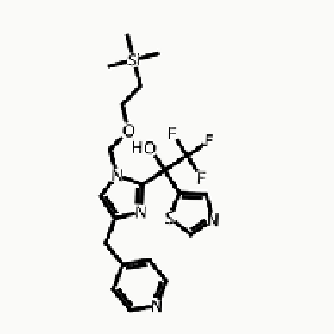 C[Si](C)(C)CCOCn1cc(Cc2ccncc2)nc1C(O)(c1cncs1)C(F)(F)F